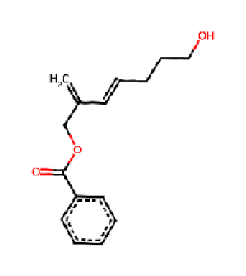 C=C(C=CCCCO)COC(=O)c1ccccc1